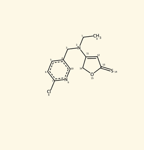 CCN(Cc1ccc(Cl)nc1)C1=CC(=S)OC1